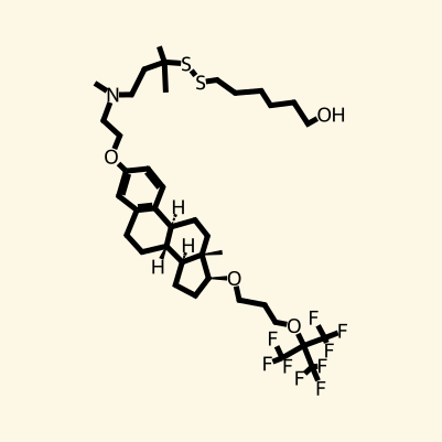 CN(CCOc1ccc2c(c1)CC[C@@H]1[C@@H]2CC[C@]2(C)[C@@H](OCCCOC(C(F)(F)F)(C(F)(F)F)C(F)(F)F)CC[C@@H]12)CCC(C)(C)SSCCCCCCO